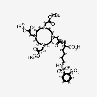 CC(C)(C)OC(=O)CN1CCN(CC(=O)N[C@H](CCCCNS(=O)(=O)c2ccccc2[N+](=O)[O-])C(=O)O)CCN(CC(=O)OC(C)(C)C)CCN(CC(=O)OC(C)(C)C)CC1